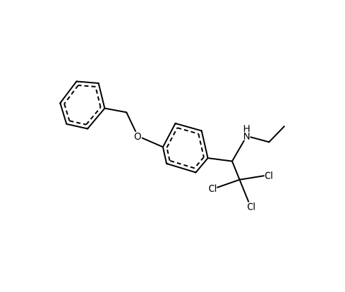 CCNC(c1ccc(OCc2ccccc2)cc1)C(Cl)(Cl)Cl